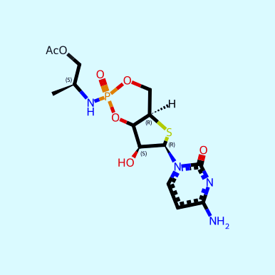 CC(=O)OC[C@H](C)NP1(=O)OC[C@H]2S[C@@H](n3ccc(N)nc3=O)[C@@H](O)C2O1